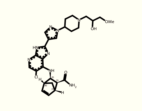 COCC(O)CN1CCC(n2cc(-c3nc4c(N[C@H]5[C@@H](C(N)=O)[C@@H]6C=C[C@H]5C6)c(Cl)cnc4[nH]3)cn2)CC1